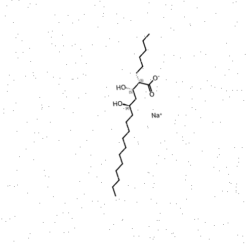 CCCCCCCCCCC[C@@H](O)C[C@H](O)[C@H](CCCCCC)C(=O)[O-].[Na+]